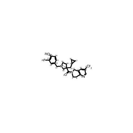 O=C(N1CCc2ncc(C(F)(F)F)cc2C1)C1(CC2CC2)CCN(Cc2ccc(O)c(F)c2)C1